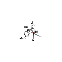 COc1ccc2c(c1)[C@]13CCN(CC4CC4)[C@H]([C@@H]2O)[C@]1(O)CCCNC(=O)NC(=O)C3